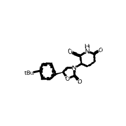 CC(C)(C)c1ccc([C@H]2CN(C3CCC(=O)NC3=O)C(=O)O2)cc1